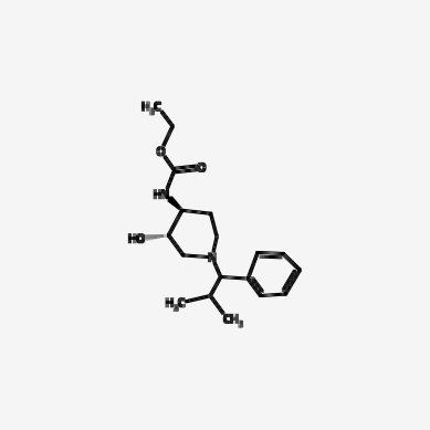 CCOC(=O)N[C@H]1CCN(C(c2ccccc2)C(C)C)C[C@@H]1O